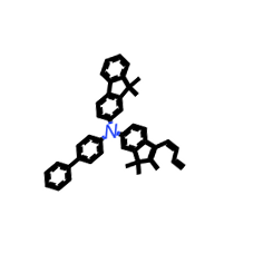 C=C/C=C\C1=C(C)C(C)(C)c2cc(N(c3ccc(-c4ccccc4)cc3)c3ccc4c(c3)C(C)(C)c3ccccc3-4)ccc21